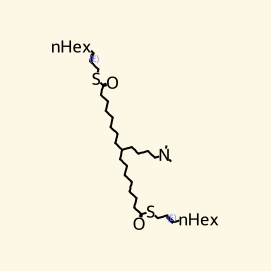 CCCCCC/C=C/CSC(=O)CCCCCCCC(CCCCCCCC(=O)SC/C=C/CCCCCC)CCCCN(C)C